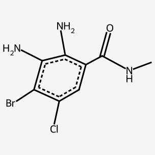 CNC(=O)c1cc(Cl)c(Br)c(N)c1N